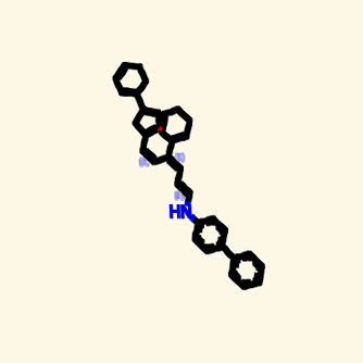 C1=CCCC(C2=CC=C(\C=C/C(=C\C=C\Nc3ccc(-c4ccccc4)cc3)C3=CCCC=C3)C2)=C1